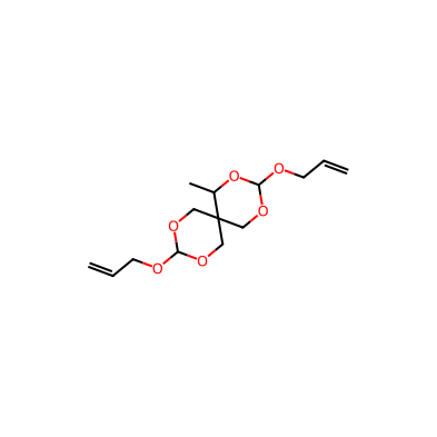 C=CCOC1OCC2(CO1)COC(OCC=C)OC2C